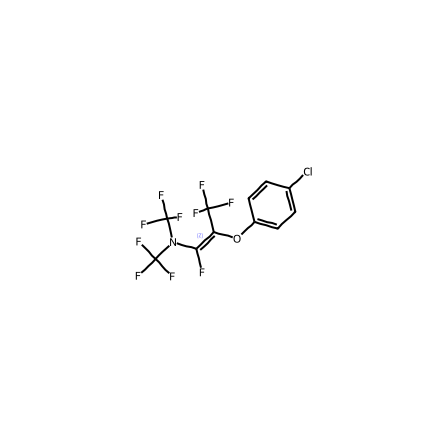 F/C(=C(\Oc1ccc(Cl)cc1)C(F)(F)F)N(C(F)(F)F)C(F)(F)F